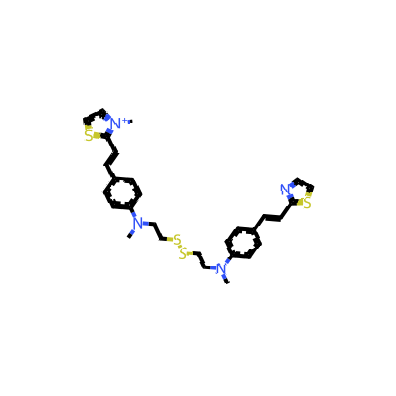 CN(CCSSCCN(C)c1ccc(/C=C/c2scc[n+]2C)cc1)c1ccc(/C=C/c2nccs2)cc1